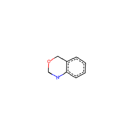 c1ccc2c(c1)COC[N]2